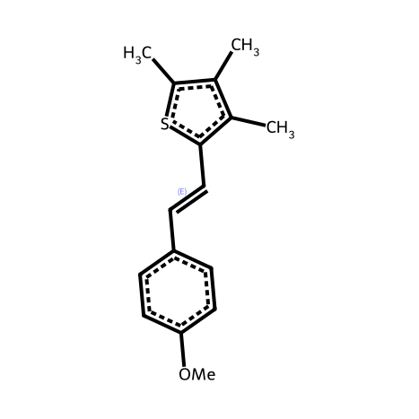 COc1ccc(/C=C/c2sc(C)c(C)c2C)cc1